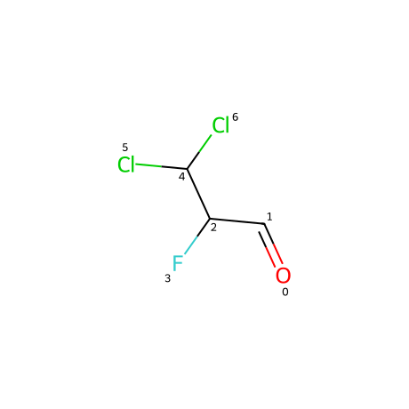 O=CC(F)C(Cl)Cl